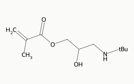 C=C(C)C(=O)OCC(O)CNC(C)(C)C